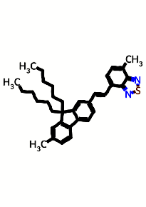 CCCCCCC1(CCCCCC)c2cc(C)ccc2-c2ccc(/C=C/c3ccc(C)c4nsnc34)cc21